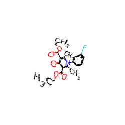 CCOC(=O)c1c(C)n(-c2cccc(F)c2)c(C)c(C(=O)OCC)c1=O